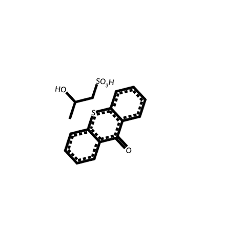 CC(O)CS(=O)(=O)O.O=c1c2ccccc2sc2ccccc12